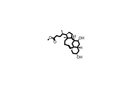 COC(=O)CC[C@@H](C)[C@H]1CC[C@H]2[C@H]3C[C@@]4(/C=C/CC[C@]12C)CC[C@@H](O)C[C@H]4C[C@@H]3O